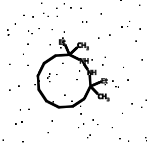 CCC1(C)CCCCCCCCC(C)(CC)NN1